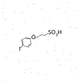 O=S(=O)(O)CCCOc1ccc(I)cc1